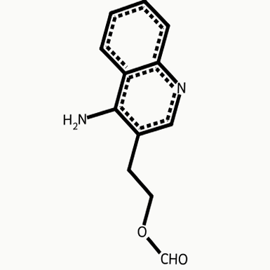 Nc1c(CCOC=O)cnc2ccccc12